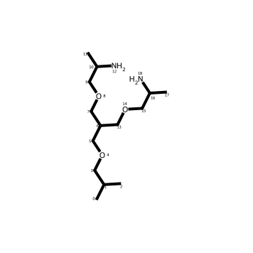 CC(C)COCC(COCC(C)N)COCC(C)N